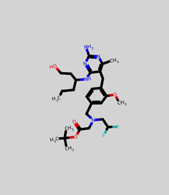 CCCC(CCO)Nc1nc(N)nc(C)c1Cc1ccc(CN(CC(=O)OC(C)(C)C)CC(F)F)cc1OC